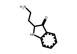 NCCC1Nc2ccccc2C1=O